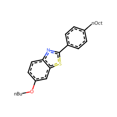 CCCCCCCCc1ccc(-c2nc3ccc(OCCCC)cc3s2)cc1